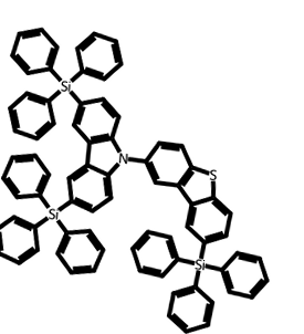 c1ccc([Si](c2ccccc2)(c2ccccc2)c2ccc3sc4ccc(-n5c6ccc([Si](c7ccccc7)(c7ccccc7)c7ccccc7)cc6c6cc([Si](c7ccccc7)(c7ccccc7)c7ccccc7)ccc65)cc4c3c2)cc1